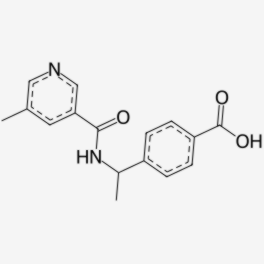 Cc1cncc(C(=O)NC(C)c2ccc(C(=O)O)cc2)c1